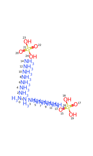 N.N.N.N.N.N.N.N.N.N.N.N.N.N.N.O=S(=O)(O)O.O=S(=O)(O)O